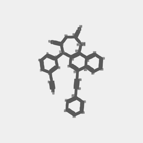 N#Cc1cccc(N2C(=O)CC(=O)Nc3c2cc(C#Cc2ccccc2)c2ccccc32)c1